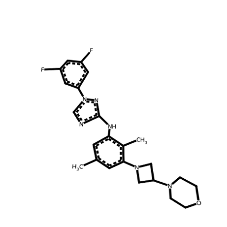 Cc1cc(Nc2ncn(-c3cc(F)cc(F)c3)n2)c(C)c(N2CC(N3CCOCC3)C2)c1